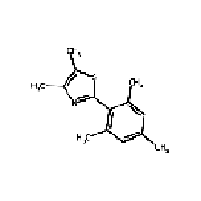 Cc1cc(C)c(-c2nc(C)c(C)s2)c(C)c1